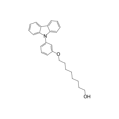 OCCCCCCCCOc1cccc(-n2c3ccccc3c3ccccc32)c1